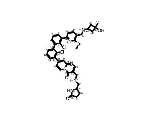 COc1nc(-c2cccc(-c3cccc(-c4ccn5c(=O)c(CNCC6CCC(=O)N6)cnc5c4)c3Cl)c2Cl)ccc1CNC1CC(C)(O)C1